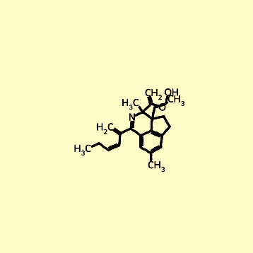 C=C(/C=C\CC)C1=NC(C)(C(=C)OC)C2(CCO)CCc3cc(C)cc1c32